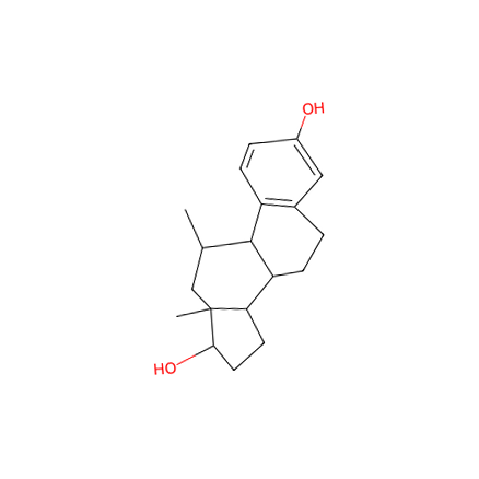 CC1CC2(C)C(O)CCC2C2CCc3cc(O)ccc3C12